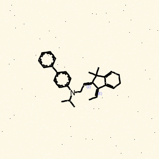 C/C=C1/C2=CCCC=C2C(C)(C)/C1=C/CN(c1ccc(-c2ccccc2)cc1)C(C)C